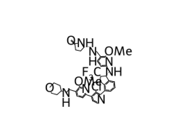 COc1nc(-c2ccnc(-c3cccc4c3CC[C@@H]4Nc3nc(OC)c(CNC[C@@H]4CCC(=O)N4)cc3C(F)(F)F)c2Cl)ccc1CNC1CCOCC1